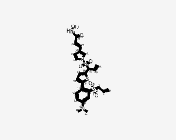 C=CCS(=O)(=O)c1cc(N(C)C)ccc1-c1ccc(C(C=C)S(=O)(=O)n2ccc(/C=C/C(=O)NO)c2)s1